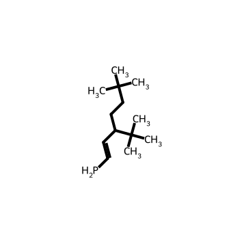 CC(C)(C)CCC(C=CP)C(C)(C)C